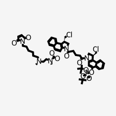 CN(CCCCCCN1C(=O)C=CC1=O)CCN(C)C(=O)Oc1cc2c(c3ccccc13)[C@H](CCl)CN2C(=O)CCCC(=O)N1C[C@@H](CCl)c2c1cc(OP(=O)(OC(C)(C)C)OC(C)(C)C)c1ccccc21